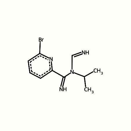 CC(C)N(C=N)C(=N)c1cccc(Br)n1